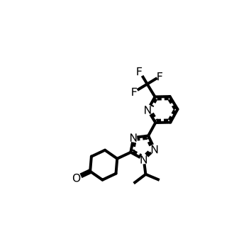 CC(C)n1nc(-c2cccc(C(F)(F)F)n2)nc1C1CCC(=O)CC1